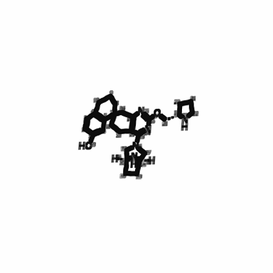 Oc1ccc2c(c1)C1(CCC2)CCc2c(nc(OC[C@@H]3CCCN3)nc2N2C[C@H]3CC[C@@H](C2)N3)C1